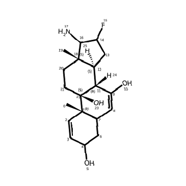 C[C@]12C=CC(O)CC1C=C(O)[C@H]1[C@@H]3CC(F)C(N)[C@@]3(C)CC[C@]12O